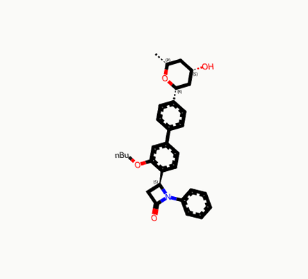 CCCCOc1cc(-c2ccc([C@H]3C[C@@H](O)C[C@@H](C)O3)cc2)ccc1[C@@H]1CC(=O)N1c1ccccc1